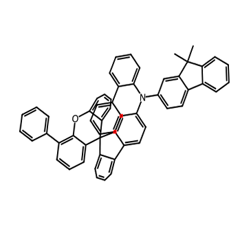 CC1(C)c2ccccc2-c2ccc(N(c3ccc4c(c3)C3(c5ccccc5Oc5c(-c6ccccc6)cccc53)c3ccccc3-4)c3ccccc3-c3ccccc3)cc21